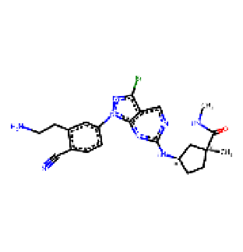 CNC(=O)[C@]1(C)CC[C@@H](Nc2ncc3c(Br)nn(-c4ccc(C#N)c(CCN)c4)c3n2)C1